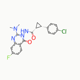 CN(C)c1nc2cc(F)ccc2c(=O)n1NC(=O)[C@@H]1C[C@@H]1c1ccc(Cl)cc1